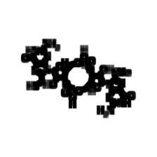 CSc1nc2c(=O)[nH]c(N)nc2n1[C@@H]1O[C@@H]2COP(=O)(O)OC3C(O)[C@H](n4c(CS)nc5c(=O)[nH]c(N)nc54)O[C@@H]3COP(=O)(O)OC2C1O